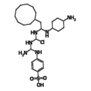 NC1CCC(NC(CC2CCCCCCCCC2)NC(Cl)NC(N)Nc2ccc(S(=O)(=O)O)cc2)CC1